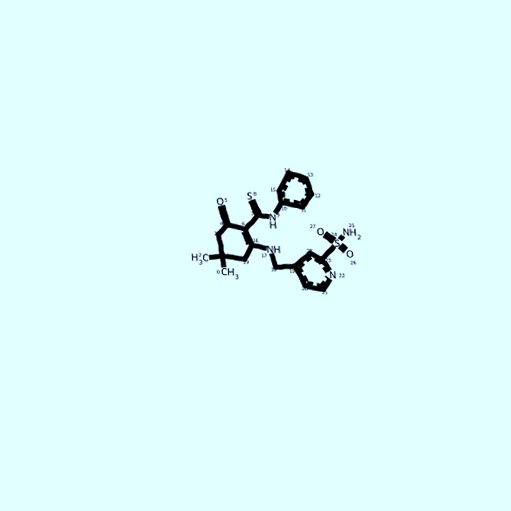 CC1(C)CC(=O)C(C(=S)Nc2ccccc2)=C(NCc2ccnc(S(N)(=O)=O)c2)C1